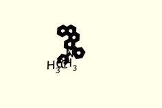 C/C=C\C(=C/C)n1c2ccccc2c2c3ccc4ccc5ccccc5c4c3ccc21